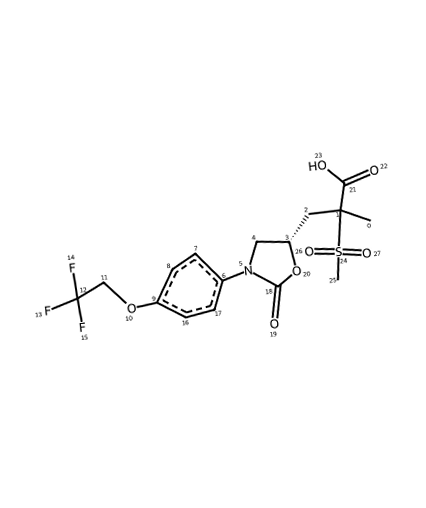 CC(C[C@H]1CN(c2ccc(OCC(F)(F)F)cc2)C(=O)O1)(C(=O)O)S(C)(=O)=O